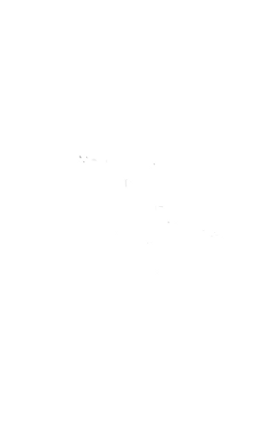 CCCCOC(=O)c1ccccc1P(=O)(CCCC)OC